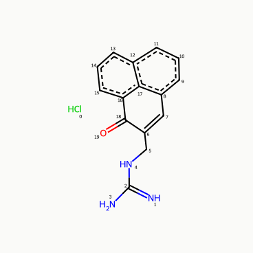 Cl.N=C(N)NCC1=Cc2cccc3cccc(c23)C1=O